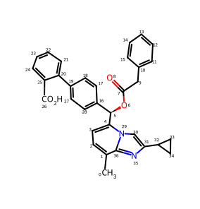 Cc1ccc([C@H](OC(=O)Cc2ccccc2)c2ccc(-c3ccccc3C(=O)O)cc2)n2cc(C3CC3)nc12